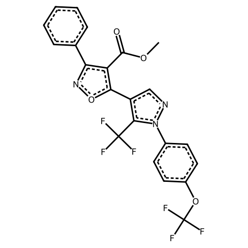 COC(=O)c1c(-c2ccccc2)noc1-c1cnn(-c2ccc(OC(F)(F)F)cc2)c1C(F)(F)F